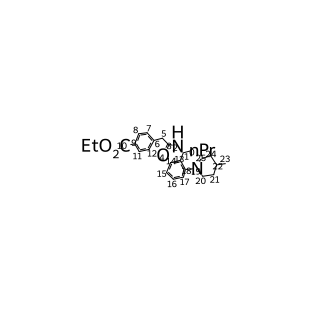 CCCC(NC(=O)Cc1ccc(C(=O)OCC)cc1)c1ccccc1N1CCC(C)CC1